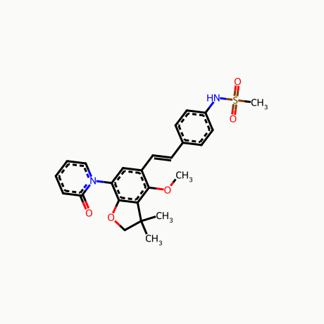 COc1c(C=Cc2ccc(NS(C)(=O)=O)cc2)cc(-n2ccccc2=O)c2c1C(C)(C)CO2